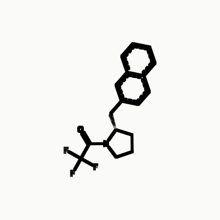 O=C(N1CCC[C@H]1Cc1ccc2ccccc2c1)C(F)(F)F